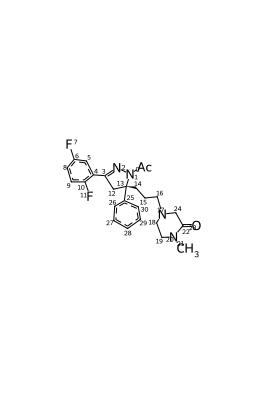 CC(=O)N1N=C(c2cc(F)ccc2F)C[C@@]1(CCCN1CCN(C)C(=O)C1)c1ccccc1